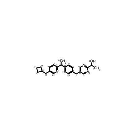 CC(O)c1ncc(Cc2ccc(C(C)c3ccc(CC4CCC4)cn3)cc2)cn1